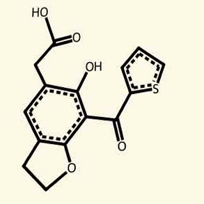 O=C(O)Cc1cc2c(c(C(=O)c3cccs3)c1O)OCC2